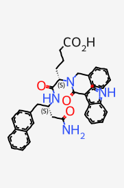 NC(=O)C[C@H](Cc1ccc2ccccc2c1)NC(=O)[C@H](CCCC(=O)O)N(Cc1ccccc1)C(=O)c1c[nH]c2ccccc12